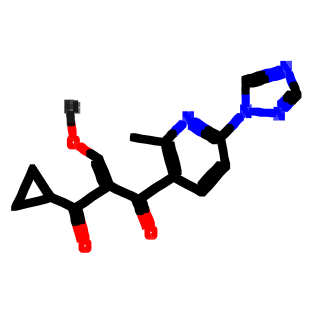 CCOC=C(C(=O)c1ccc(-n2cncn2)nc1C)C(=O)C1CC1